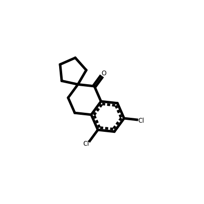 O=C1c2cc(Cl)cc(Cl)c2CCC12CCCC2